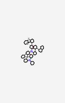 c1ccc(N2c3ccccc3C3(c4ccccc4-c4ccc(N(c5ccc(-c6cccc7sc8ccccc8c67)cc5)c5ccccc5-c5ccccc5-c5cccc6ccccc56)cc43)c3ccccc32)cc1